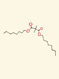 CCCCCCCCOC(=O)C(C)(C)C(=O)OCCCCCCCC